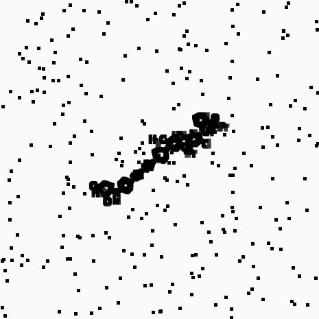 Cc1cc(Nc2ncc(Cl)c(Nc3cccnc3S(=O)(=O)C(C)C)n2)c(OC(C)C)cc1C1CCN(C2CN(C3CN(c4ccc(NC5CCC(=O)NC5=O)cc4)C3)C2)CC1